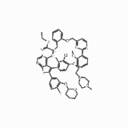 CCOC(=O)[C@@H](Cc1ccccc1OCc1ccnc(-c2ccccc2OC)n1)Oc1ncnc2sc(-c3ccc(F)c(OC4CCCCO4)c3)c(-c3ccc(OCCN4CCN(C)CC4)c(Cl)c3C)c12